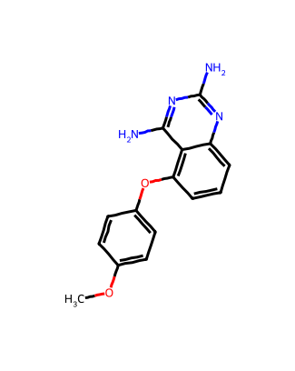 COc1ccc(Oc2cccc3nc(N)nc(N)c23)cc1